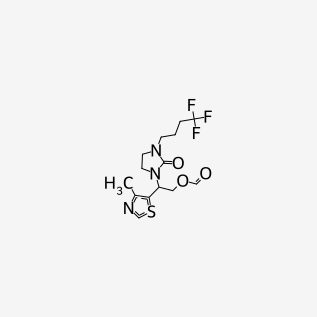 Cc1ncsc1C(COC=O)N1CCN(CCCC(F)(F)F)C1=O